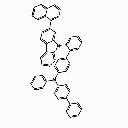 c1ccc(-c2ccc(N(c3ccccc3)c3ccc(-c4ccccc4-n4c5ccccc5c5ccc(-c6cccc7ccccc67)cc54)cc3)cc2)cc1